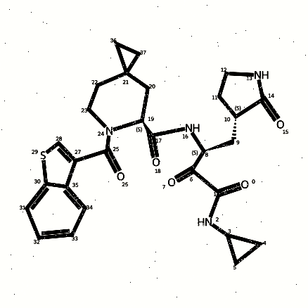 O=C(NC1CC1)C(=O)[C@H](C[C@@H]1CCNC1=O)NC(=O)[C@@H]1CC2(CCN1C(=O)c1csc3ccccc13)CC2